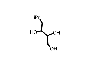 CC(C)CC(O)C(O)CO